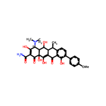 COc1ccc(-c2ccc3c(c2O)C(=O)C2=C(O)C4(O)C(=O)C(C(N)=O)=C(O)[C@@H](N(C)C)C4C(O)C2C3C)cc1